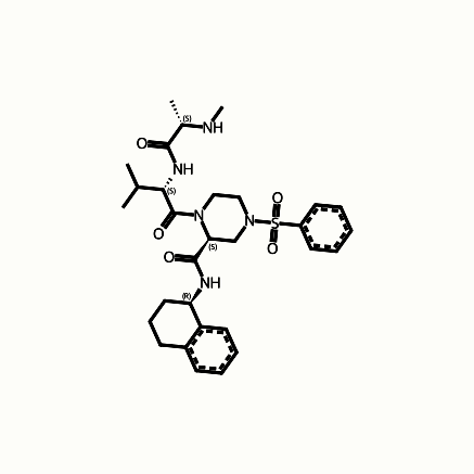 CN[C@@H](C)C(=O)N[C@H](C(=O)N1CCN(S(=O)(=O)c2ccccc2)C[C@H]1C(=O)N[C@@H]1CCCc2ccccc21)C(C)C